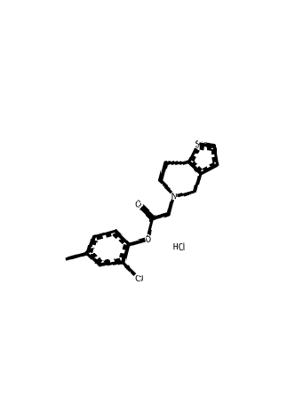 Cc1ccc(OC(=O)CN2CCc3sccc3C2)c(Cl)c1.Cl